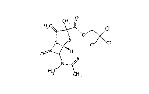 C=C1N2C(=O)C(N(C)C(C)=S)[C@H]2SC1(C)C(=O)OCC(Cl)(Cl)Cl